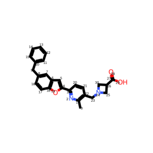 Cc1nc(-c2cc3cc(Cc4ccccc4)ccc3o2)ccc1CN1CC(C(=O)O)C1